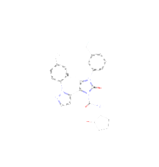 Cc1c(-c2ccnn2-c2ccc(C#N)cc2)n(C(=O)N[C@@H]2CCC[C@H]2O)c(=O)n1-c1cccc(CF)c1